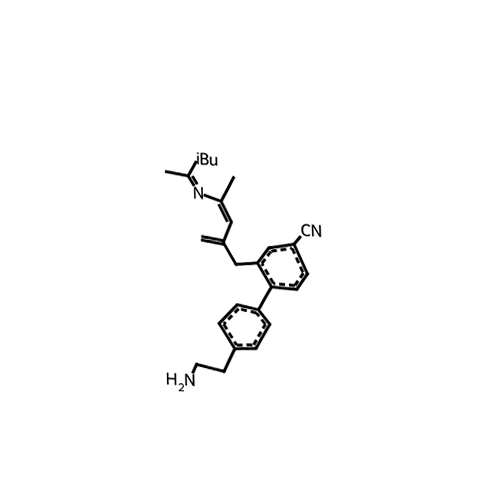 C=C(/C=C(C)\N=C(\C)C(C)CC)Cc1cc(C#N)ccc1-c1ccc(CCN)cc1